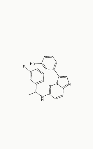 CC(Nc1ccc2ncc(-c3cccc(O)c3)n2n1)c1cccc(F)c1